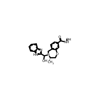 C[C@H]1COc2cc(C(=O)NO)ccc2CN1C(O)c1nc2ccccc2[nH]1